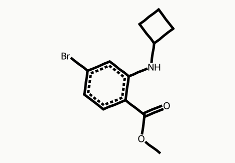 COC(=O)c1ccc(Br)cc1NC1CCC1